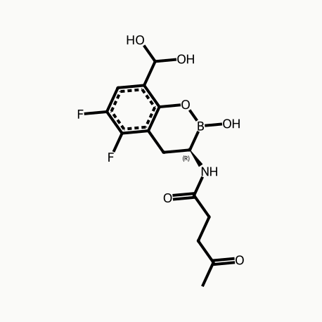 CC(=O)CCC(=O)N[C@H]1Cc2c(F)c(F)cc(C(O)O)c2OB1O